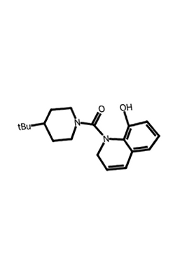 CC(C)(C)C1CCN(C(=O)N2CC=Cc3cccc(O)c32)CC1